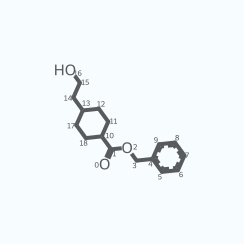 O=C(OCc1ccccc1)C1CCC(CCO)CC1